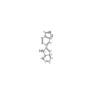 c1cnc2[nH]c(-c3ccc4cnoc4c3)cc2c1